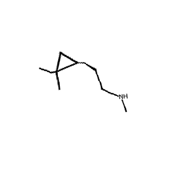 CNCC[C@@H]1CC1(C)C